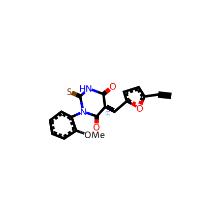 C#Cc1ccc(/C=C2\C(=O)NC(=S)N(c3ccccc3OC)C2=O)o1